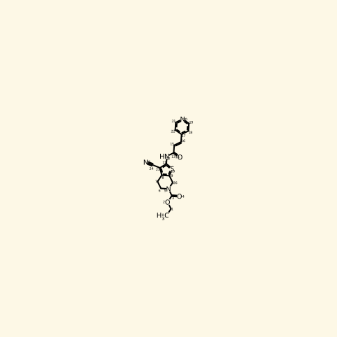 CCOC(=O)N1CCc2c(sc(NC(=O)C=Cc3ccncc3)c2C#N)C1